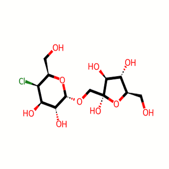 OC[C@H]1O[C@@](O)(CO[C@H]2O[C@H](CO)[C@H](Cl)[C@H](O)[C@H]2O)[C@@H](O)[C@@H]1O